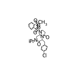 CC(C)N1CC2N(C(=O)CCN2S(=O)(=O)c2ccccc2S(C)(=O)=O)C(Cc2ccc(Cl)cc2)C1=O